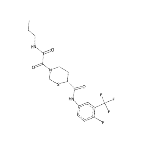 CCCNC(=O)C(=O)N1CC[C@H](C(=O)Nc2ccc(F)c(C(F)(F)F)c2)SC1